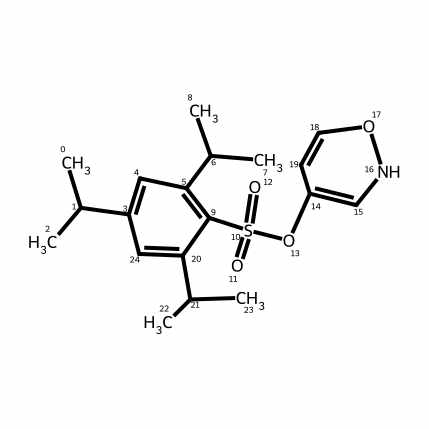 CC(C)c1cc(C(C)C)c(S(=O)(=O)OC2=CNOC=C2)c(C(C)C)c1